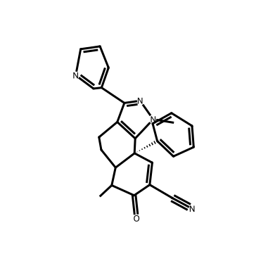 CC1C(=O)C(C#N)=C[C@]2(c3ccccc3)c3c(c(-c4cccnc4)nn3C)CCC12